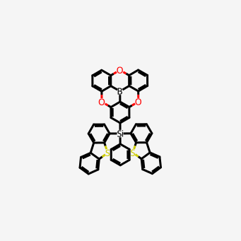 c1ccc([Si](c2cc3c4c(c2)Oc2cccc5c2B4c2c(cccc2O3)O5)(c2cccc3c2sc2ccccc23)c2cccc3c2sc2ccccc23)cc1